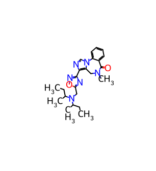 CCC(C)N(Cc1nc(-c2ncn3c2CN(C)C(=O)c2ccccc2-3)no1)C(C)CC